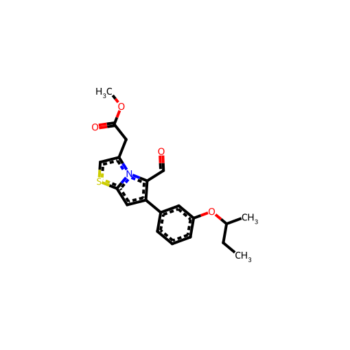 CCC(C)Oc1cccc(-c2cc3scc(CC(=O)OC)n3c2C=O)c1